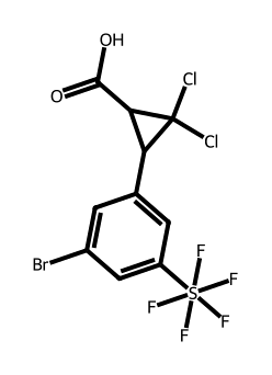 O=C(O)C1C(c2cc(Br)cc(S(F)(F)(F)(F)F)c2)C1(Cl)Cl